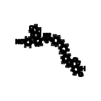 N#Cc1ccc2c(c1)[nH]c1c(NC3CCOCC3)c(-c3nnc(N4CCN(CC5CCN(c6ccc7c(c6)C(=O)N(C6CCC(=O)NC6=O)C7)CC5)CC4)s3)cnc12